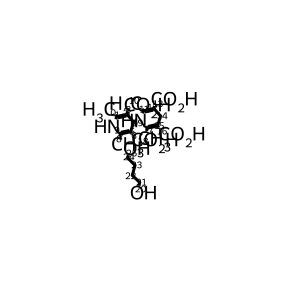 CC1=C(C(=O)O)CC(C(=O)O)=C(C)N1.CC1=C(C(=O)O)CC(C(=O)O)=C(C)N1.OCCCCO